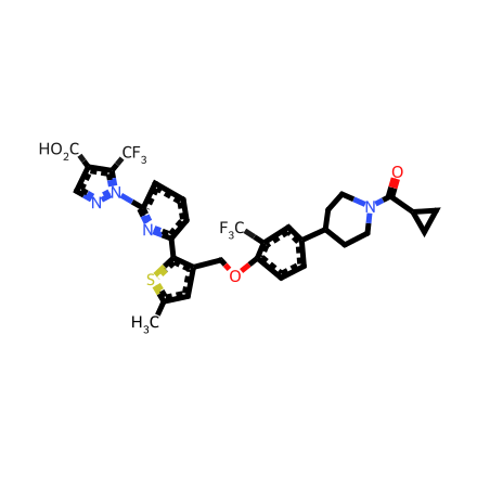 Cc1cc(COc2ccc(C3CCN(C(=O)C4CC4)CC3)cc2C(F)(F)F)c(-c2cccc(-n3ncc(C(=O)O)c3C(F)(F)F)n2)s1